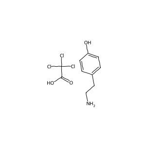 NCCc1ccc(O)cc1.O=C(O)C(Cl)(Cl)Cl